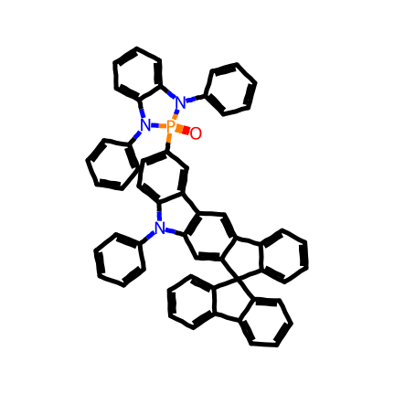 O=P1(c2ccc3c(c2)c2cc4c(cc2n3-c2ccccc2)C2(c3ccccc3-c3ccccc32)c2ccccc2-4)N(c2ccccc2)c2ccccc2N1c1ccccc1